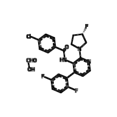 O=C(Nc1c(-c2cc(F)ccc2F)ccnc1N1CC[C@H](F)C1)c1ccc(Cl)cc1.O=CO